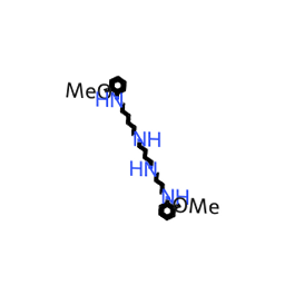 COc1ccccc1NCCCCCCNCCCCNCCCCNc1ccccc1OC